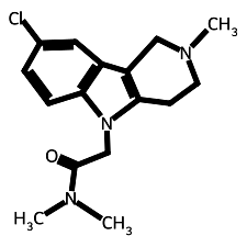 CN1CCc2c(c3cc(Cl)ccc3n2CC(=O)N(C)C)C1